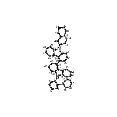 c1ccc(-c2ccccc2-n2c3ccccc3c3c(-c4cccc5c4c4ccccc4n5-c4ccc5ccccc5c4)cccc32)cc1